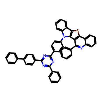 c1ccc(-c2ccc(-c3nc(-c4ccccc4)nc(-c4ccc(-n5c6ccccc6c6sc7c8ccccc8nc(-c8ccccc8)c7c65)cc4)n3)cc2)cc1